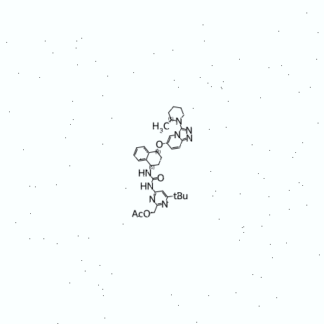 CC(=O)OCc1nc(NC(=O)N[C@H]2CC[C@@H](Oc3ccc4nnc(N5CCCC[C@@H]5C)n4c3)c3ccccc32)cc(C(C)(C)C)n1